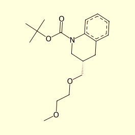 COCCOC[C@H]1Cc2ccccc2N(C(=O)OC(C)(C)C)C1